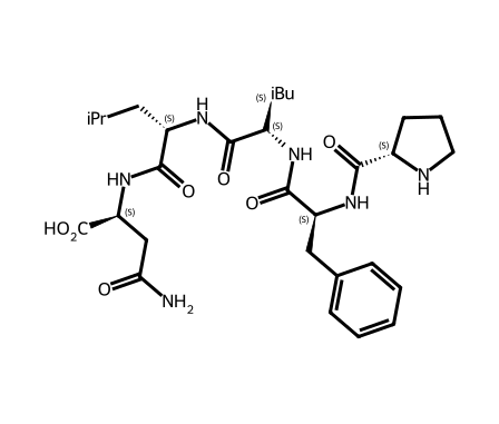 CC[C@H](C)[C@H](NC(=O)[C@H](Cc1ccccc1)NC(=O)[C@@H]1CCCN1)C(=O)N[C@@H](CC(C)C)C(=O)N[C@@H](CC(N)=O)C(=O)O